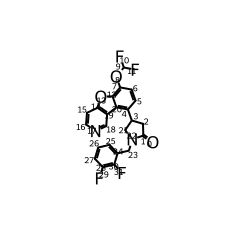 O=C1CC(c2ccc(OC(F)F)c3oc4ccncc4c23)CN1Cc1cccc(F)c1F